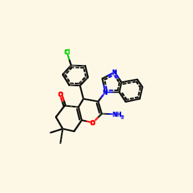 CC1(C)CC(=O)C2=C(C1)OC(N)=C(n1cnc3ccccc31)C2c1ccc(Cl)cc1